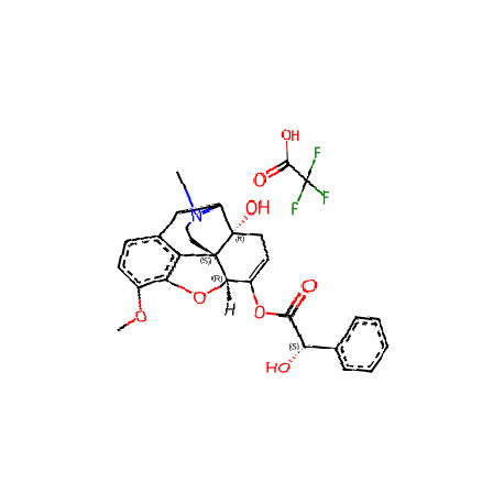 COc1ccc2c3c1O[C@H]1C(OC(=O)[C@@H](O)c4ccccc4)=CC[C@]4(O)C(C2)N(C)CC[C@]314.O=C(O)C(F)(F)F